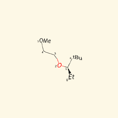 CC[C@@H](OCCOC)C(C)(C)C